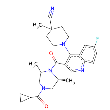 CC1CN(C(=O)C2CC2)C[C@H](C)N1C(=O)c1cnc2ccc(F)cc2c1N1CCC(C)(C#N)CC1